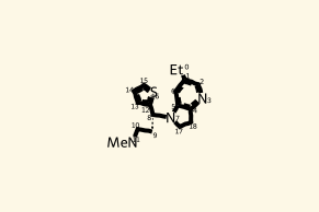 CCc1cnc2c(c1)N([C@H](CCNC)c1cccs1)CC2